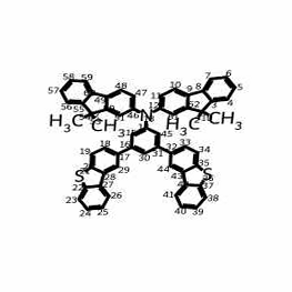 CC1(C)c2ccccc2-c2ccc(N(c3cc(-c4ccc5sc6ccccc6c5c4)cc(-c4ccc5sc6ccccc6c5c4)c3)c3ccc4c(c3)C(C)(C)c3ccccc3-4)cc21